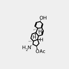 CC(=O)O[C@@H]1C[C@H]2[C@@H]3C=CC4=C[C@@H](O)C=C[C@]4(C)[C@H]3CC[C@]2(C)[C@H]1N